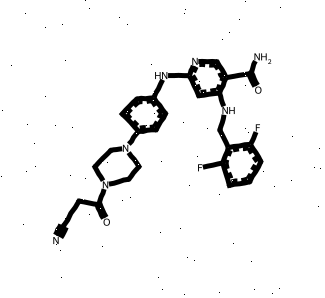 N#CCC(=O)N1CCN(c2ccc(Nc3cc(NCc4c(F)cccc4F)c(C(N)=O)cn3)cc2)CC1